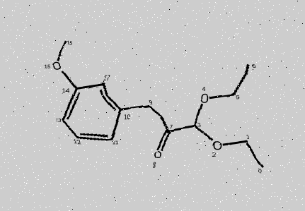 CCOC(OCC)C(=O)Cc1cccc(OC)c1